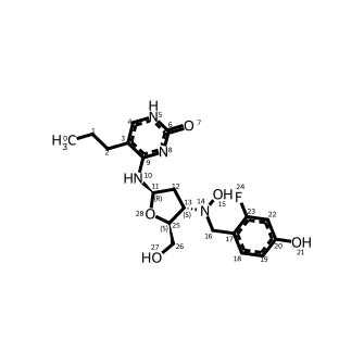 CCCc1c[nH]c(=O)nc1N[C@H]1C[C@H](N(O)Cc2ccc(O)cc2F)[C@@H](CO)O1